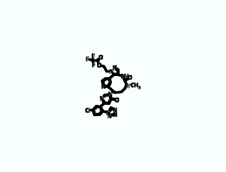 C[C@@H]1CCC[C@H](n2cnc(-c3cc(Cl)ccc3-n3cnnn3)cc2=O)c2cc(ccn2)-c2c(cnn2CCOC(=O)C(F)(F)F)NC1=O